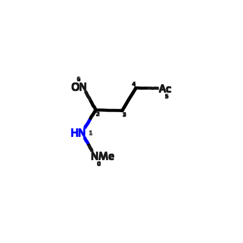 CNNC(CCC(C)=O)N=O